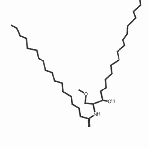 C=C(CCCCCCCCCCCCCCCCC)NC(COC)C(O)CCCCCCCCCCCCCCC